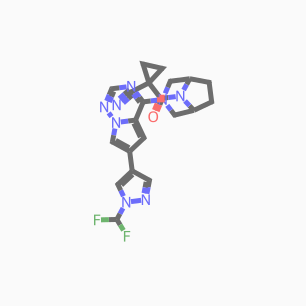 N#CC1(C(=O)N2C3CCC2CN(c2ncnn4cc(-c5cnn(C(F)F)c5)cc24)C3)CC1